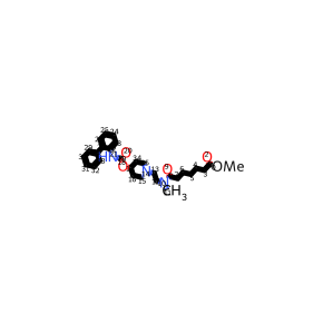 COC(=O)CCCCCC(=O)N(C)CCN1CCC(OC(=O)Nc2ccccc2-c2ccccc2)CC1